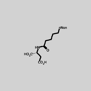 CCCCCCCCCCCCCC(=O)N[C@H](CC(=O)O)C(=O)O